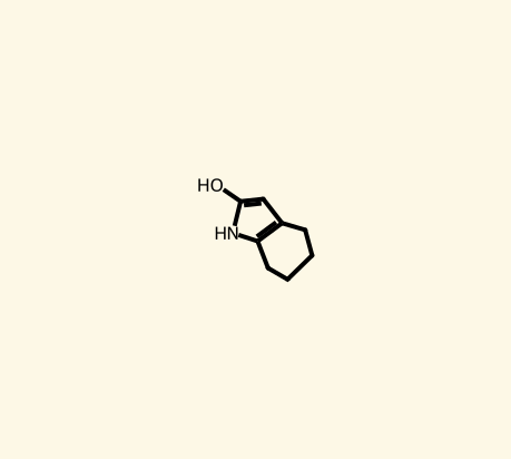 Oc1cc2c([nH]1)CCCC2